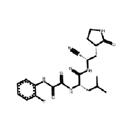 CC(C)C[C@H](NC(=O)C(=O)Nc1ccccc1F)C(=O)N[C@H](C#N)C[C@@H]1CCNC1=O